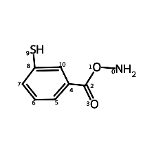 NOC(=O)c1cccc(S)c1